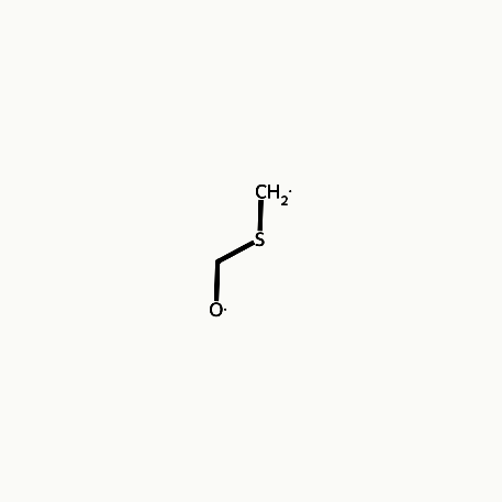 [CH2]SC[O]